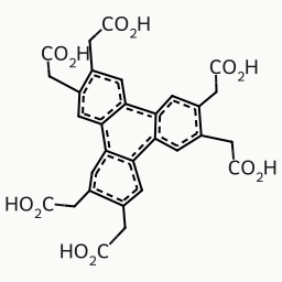 O=C(O)Cc1cc2c3cc(CC(=O)O)c(CC(=O)O)cc3c3cc(CC(=O)O)c(CC(=O)O)cc3c2cc1CC(=O)O